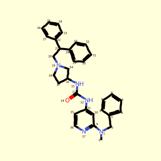 CN(Cc1ccccc1)c1cc(NC(=O)NC2CCN(CC(c3ccccc3)c3ccccc3)C2)ccn1